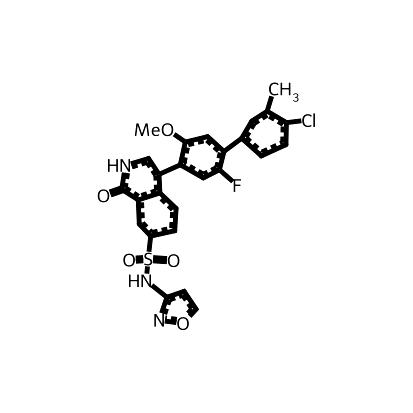 COc1cc(-c2ccc(Cl)c(C)c2)c(F)cc1-c1c[nH]c(=O)c2cc(S(=O)(=O)Nc3ccon3)ccc12